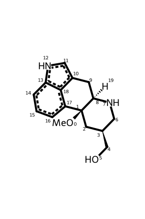 CO[C@]12C[C@H](CO)CN[C@@H]1Cc1c[nH]c3cccc2c13